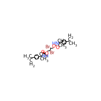 C=C(C)c1ccc(C(C)(C)NC(=O)OCC(Br)C(Br)COC(=O)NC(C)(C)c2ccc(C(=C)C)cc2)cc1